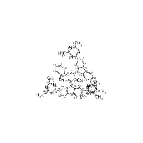 Cc1nc(C)nc(-c2ccc3c4ccc(-c5nc(C)nc(C)n5)cc4n(-c4cc(-c5ccccc5C#N)cc(-n5c6cc(-c7nc(C)nc(C)n7)ccc6c6ccc(-c7nc(C)nc(C)n7)cc65)c4C#N)c3c2)n1